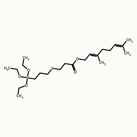 CCO[Si](CCCSCCC(=O)OC/C=C(\C)CCC=C(C)C)(OCC)OCC